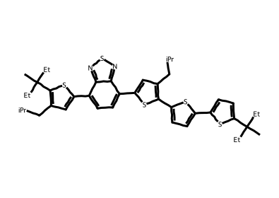 CCC(C)(CC)c1ccc(-c2ccc(-c3sc(-c4ccc(-c5cc(CC(C)C)c(C(C)(CC)CC)s5)c5nsnc45)cc3CC(C)C)s2)s1